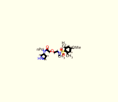 CCCN(C(=O)COCCN(C)S(=O)(=O)c1c(C)cc(OC)cc1C)[C@H]1CCNC1